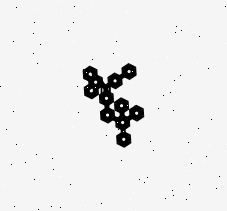 c1ccc(-c2ccc(N(c3ccc(-c4cccc(-c5cc(-c6ccccc6)cc(-c6ccccc6)c5-c5ccccc5)c4)cc3)c3cc4ccccc4c4ccccc34)cc2)cc1